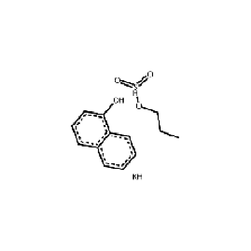 CCCO[SH](=O)=O.Oc1cccc2ccccc12.[KH]